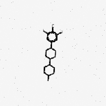 CC1CCC(C2CCC(c3cc(F)c(F)c(I)c3)CC2)CC1